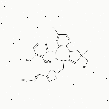 COc1cccc([C@H]2O[C@H](Cc3ncc(/C=C/C(=O)O)s3)C(=O)N(CC(C)(C)CO)c3ccc(Cl)cc32)c1OC